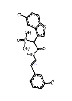 O=C(N/C=C/c1cccc(Cl)c1)C(c1csc2ccc(Cl)cc12)P(=O)(O)O